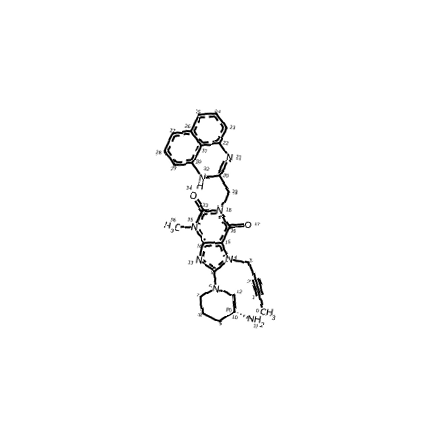 CC#CCn1c(N2CCC[C@@H](N)C2)nc2c1c(=O)n(CC1=Nc3cccc4cccc(c34)N1)c(=O)n2C